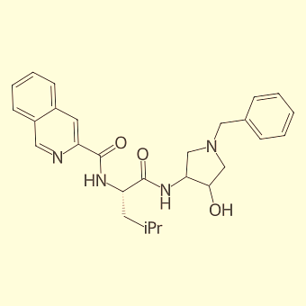 CC(C)C[C@H](NC(=O)c1cc2ccccc2cn1)C(=O)NC1CN(Cc2ccccc2)CC1O